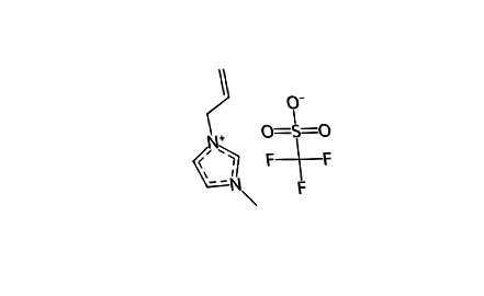 C=CC[n+]1ccn(C)c1.O=S(=O)([O-])C(F)(F)F